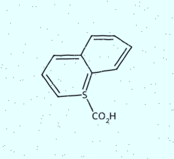 O=C(O)S1=c2ccccc2=CC=C1